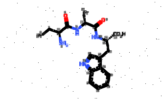 CC(C)C[C@H](N)C(=O)N[C@H](C(=O)N[C@@H](Cc1c[nH]c2ccccc12)C(=O)O)C(C)C